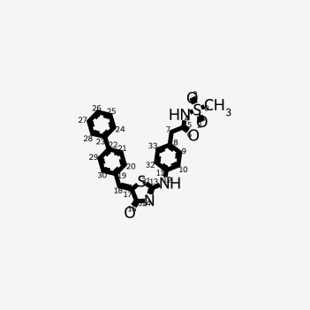 CS(=O)(=O)NC(=O)Cc1ccc(NC2=NC(=O)C(=Cc3ccc(-c4ccccc4)cc3)S2)cc1